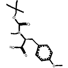 COc1ccc(C[C@@H](C(=O)O)N(C)C(=O)OC(C)(C)C)cc1